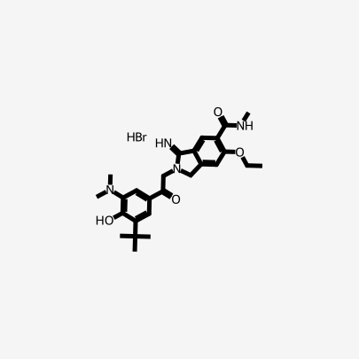 Br.CCOc1cc2c(cc1C(=O)NC)C(=N)N(CC(=O)c1cc(N(C)C)c(O)c(C(C)(C)C)c1)C2